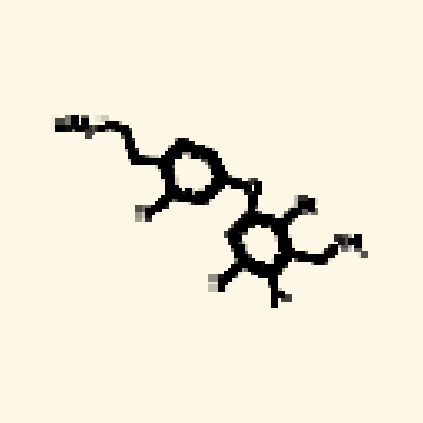 CCOC(=O)CCc1ccc(Oc2cc(CC)c(CC)c(CN)c2CC)cc1CC